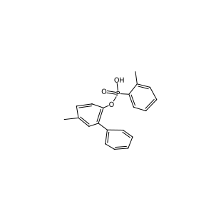 Cc1ccc(OP(=O)(O)c2ccccc2C)c(-c2ccccc2)c1